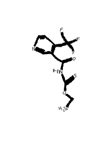 O=C(NC(=S)OC[SiH3])c1cnccc1C(F)(F)F